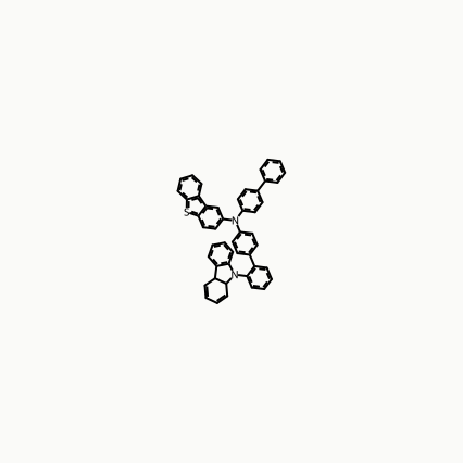 C1=CC2c3ccccc3N(c3ccccc3-c3ccc(N(c4ccc(-c5ccccc5)cc4)c4ccc5sc6ccccc6c5c4)cc3)C2C=C1